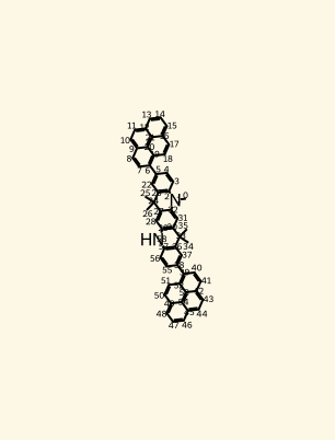 CN1c2ccc(-c3ccc4ccc5cccc6ccc3c4c56)cc2C(C)(C)c2cc3c(cc21)C(C)(C)c1cc(-c2ccc4ccc5cccc6ccc2c4c56)ccc1N3